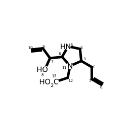 C=CCC1CNC(C(O)C=C)N1CC(=O)O